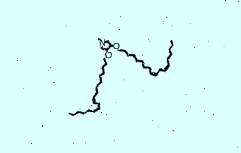 CCCCC/C=C\C/C=C\CCCCCCCCOC1CN(C)C[C@@H]1OCCCCCCCC/C=C\C/C=C\CCCCC